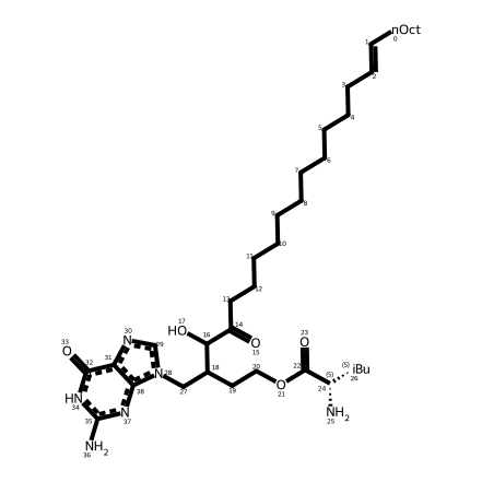 CCCCCCCCC=CCCCCCCCCCCCC(=O)C(O)C(CCOC(=O)[C@@H](N)[C@@H](C)CC)Cn1cnc2c(=O)[nH]c(N)nc21